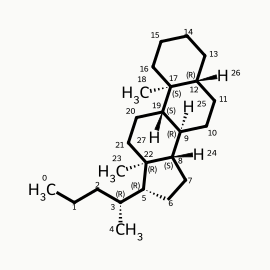 CCC[C@@H](C)[C@H]1CC[C@H]2[C@@H]3CC[C@H]4CCCC[C@]4(C)[C@H]3CC[C@]12C